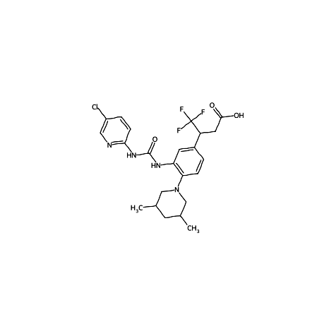 CC1CC(C)CN(c2ccc(C(CC(=O)O)C(F)(F)F)cc2NC(=O)Nc2ccc(Cl)cn2)C1